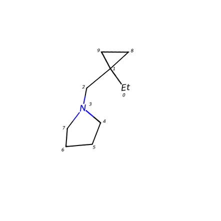 CCC1(CN2CCCC2)CC1